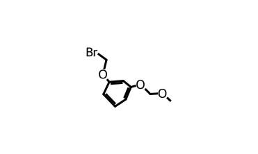 COCOc1cccc(OCBr)c1